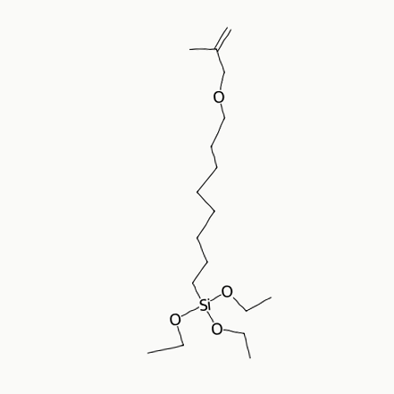 C=C(C)COCCCCCCCC[Si](OCC)(OCC)OCC